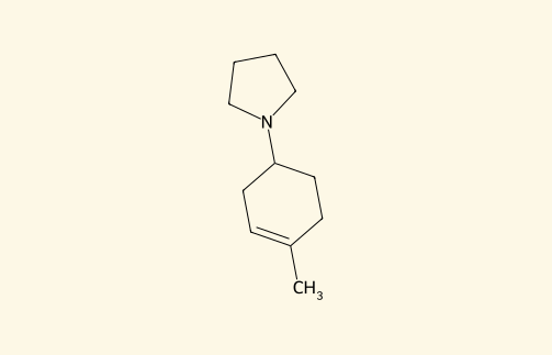 CC1=CCC(N2CCCC2)CC1